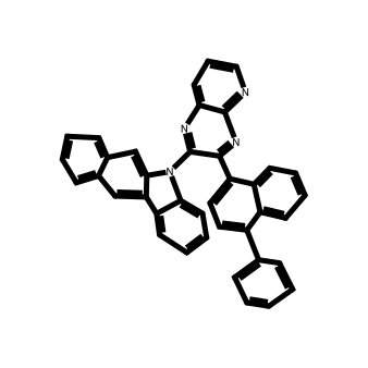 c1ccc(-c2ccc(-c3nc4ncccc4nc3-n3c4ccccc4c4cc5ccccc5cc43)c3ccccc23)cc1